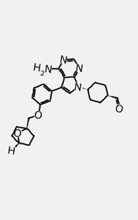 Nc1ncnc2c1c(-c1cccc(OC[C@]34CC[C@H](CC3)O4)c1)cn2[C@H]1CC[C@H](C=O)CC1